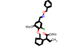 CC=C(C(=O)OC)c1ccccc1COc1c(F)cc(C=NOCc2ccccc2)cc1OC